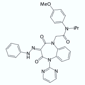 COc1ccc(N(C(=O)Cn2c(=O)c(=NNc3ccccc3)c(=O)n(-c3ncccn3)c3ccccc32)C(C)C)cc1